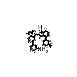 Nc1cncc(-c2cc3c(-c4cc5c(-c6cccc(F)c6)cccc5[nH]4)n[nH]c3cn2)c1